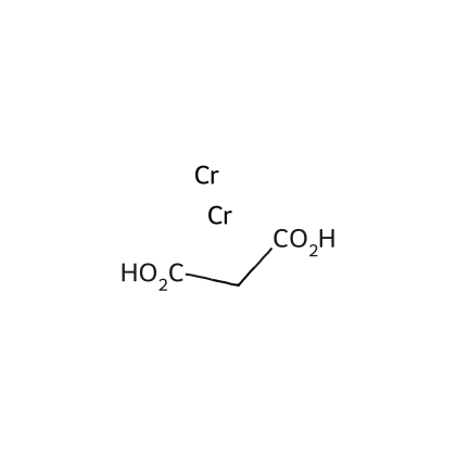 O=C(O)CC(=O)O.[Cr].[Cr]